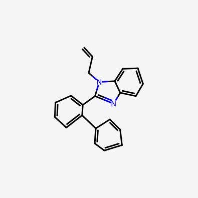 C=CCn1c(-c2ccccc2-c2ccccc2)nc2ccccc21